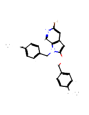 COc1ccc(COc2cc3cc(Br)ncc3n2Cc2ccc(OC)cc2)cc1